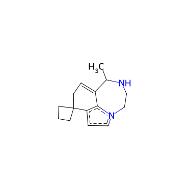 CC1NCCn2ccc3c2C1=CCC31CCC1